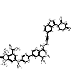 CC(C)c1cc(-c2ncc(N(C)c3cc(C(C)C)c4c(c3)n(C)c(=O)n4C)cn2)cnc1C(=O)NCC#Cc1ccc2occ(C3CCC(=O)NC3=O)c2c1